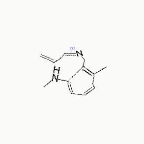 C=C/C=N\c1c(C)cccc1NC